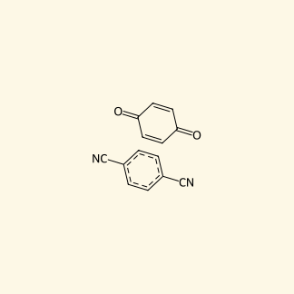 N#Cc1ccc(C#N)cc1.O=C1C=CC(=O)C=C1